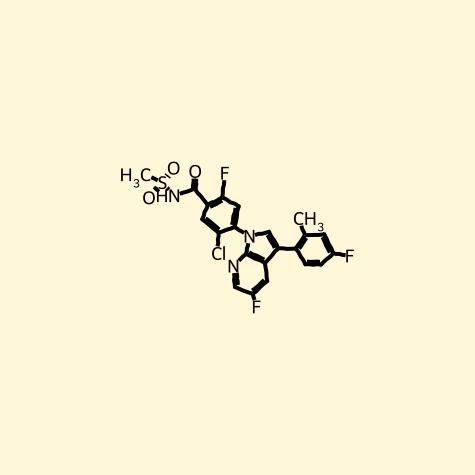 Cc1cc(F)ccc1-c1cn(-c2cc(F)c(C(=O)NS(C)(=O)=O)cc2Cl)c2ncc(F)cc12